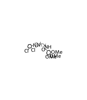 COc1cc(C(=O)NC(C)(C)CC(C)(C)N2CCN(c3cccc(Cl)c3Cl)CC2)cc(OC)c1OC